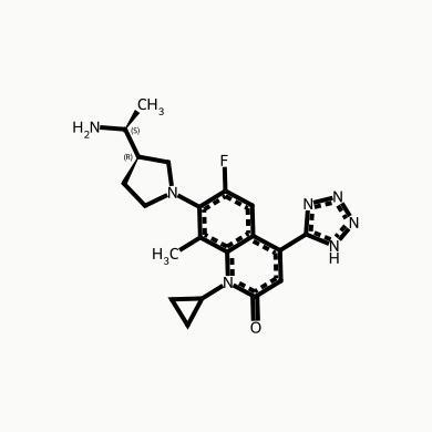 Cc1c(N2CC[C@@H]([C@H](C)N)C2)c(F)cc2c(-c3nnn[nH]3)cc(=O)n(C3CC3)c12